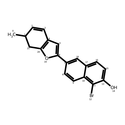 CC1C=Cc2cc(-c3ccc4c(Br)c(O)ccc4c3)oc2C1